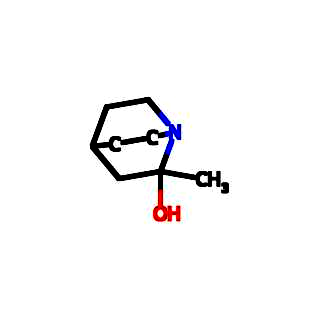 CC1(O)CC2CCN1CC2